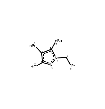 CCCCc1c(CCC)c(O)nn1CC(C)C